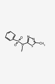 Cc1nnc(N(F)S(=O)(=O)c2ccccc2)s1